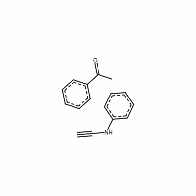 C#CNc1ccccc1.CC(=O)c1ccccc1